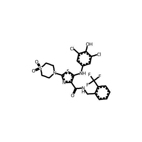 O=C(NCc1ccccc1C(F)(F)F)c1nc(N2CCS(=O)(=O)CC2)sc1Nc1cc(Cl)c(O)c(Cl)c1